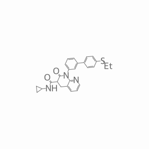 CCSc1ccc(-c2cccc(N3C(=O)C(C(=O)NC4CC4)Cc4cccnc43)c2)cc1